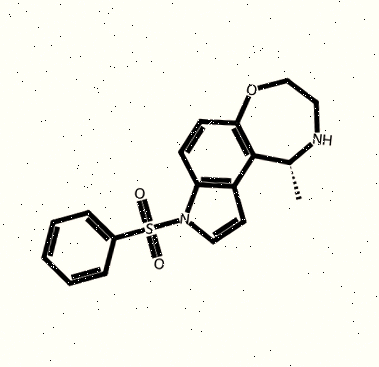 C[C@H]1NCCOc2ccc3c(ccn3S(=O)(=O)c3ccccc3)c21